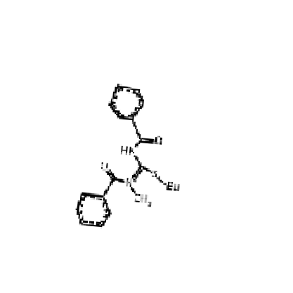 CCCCSC(NC(=O)c1ccccc1)=[N+](C)C(=O)c1ccccc1